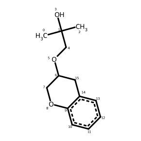 CC(C)(O)COC1COc2ccccc2C1